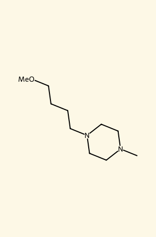 COCCCCN1CCN(C)CC1